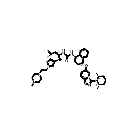 CC(C)C(=N)/C=C(/NC(=O)N[C@H]1CC[C@@H](Oc2ccc3nnc(N4[C@H](C)CCC[C@@H]4C)n3c2)c2ccccc21)Nc1cnn(CCN2CCN(C)CC2)c1